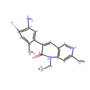 CNc1cc2c(cn1)cc(-c1cc(N)c(F)cc1C)c(=O)n2CC(F)(F)F